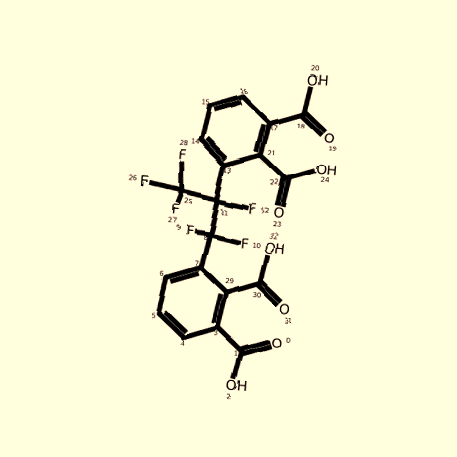 O=C(O)c1cccc(C(F)(F)C(F)(c2cccc(C(=O)O)c2C(=O)O)C(F)(F)F)c1C(=O)O